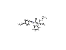 CCCC(C)N(C(=O)/C=C/c1ccc(C)cc1)c1ccccc1